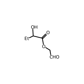 CCC(O)C(=O)OCC=O